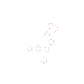 COC1[C@H](O[C@@H]2C(CO)O[C@@H](O[C@@H]3C(O)[C@H](O[C@@H]4C(CO)O[C@@H](O[C@@H]5C(O)[C@H](C)OC(CO)[C@H]5O)C(O)[C@H]4O)OC(CO[C@@H]4OC(CO)[C@H](O)[C@H](O)C4O)[C@@H]3O)C(NC(C)=O)[C@H]2O)OC(CO)[C@H](O)[C@@H]1O[C@]1(C(=O)O)C[C@@H](O)[C@@H](C)C(C(O)C(O)CO)O1